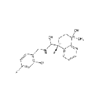 C[C@@]1(O)CC[C@@](F)(C(O)NCc2ccc(F)cc2Cl)c2cccnc21